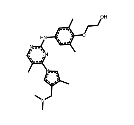 Cc1cn(-c2nc(Nc3cc(C)c(OCCO)c(C)c3)ncc2C)cc1CN(C)C